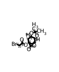 CC1(C)O[C@@H]2C[C@]3(OC(=O)CBr)CC(OC3=O)[C@@H]2O1